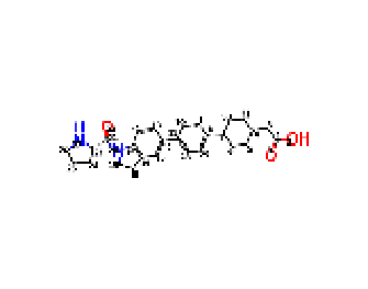 O=C(O)C[C@H]1CC[C@H](c2ccc(-c3ccc4c(c3)CCN4C(=O)[C@@H]3CCCN3)cc2)CC1